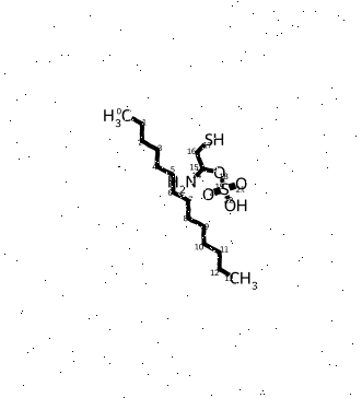 CCCCCCCCCCCCCC.NC(CS)OS(=O)(=O)O